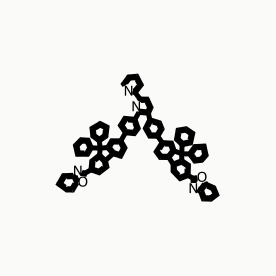 c1ccc(C2(c3ccccc3)c3cc(-c4ccc(-c5ccc(-c6ccccn6)nc5-c5ccc(-c6ccc7c(c6)C(c6ccccc6)(c6ccccc6)c6cc(-c8nc9ccccc9o8)ccc6-7)cc5)cc4)ccc3-c3ccc(-c4nc5ccccc5o4)cc32)cc1